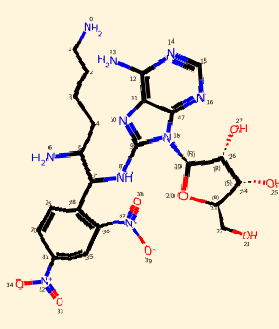 NCCCCC(N)C(Nc1nc2c(N)ncnc2n1[C@@H]1O[C@H](CO)[C@@H](O)[C@H]1O)c1ccc([N+](=O)[O-])cc1[N+](=O)[O-]